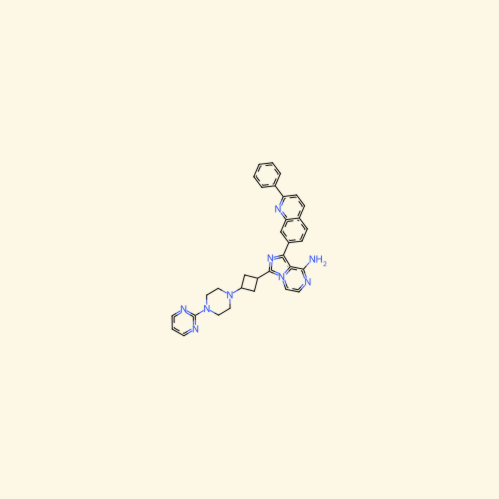 Nc1nccn2c(C3CC(N4CCN(c5ncccn5)CC4)C3)nc(-c3ccc4ccc(-c5ccccc5)nc4c3)c12